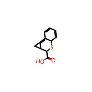 O=C(O)C1SC2C=CC=CC2=C2CC21